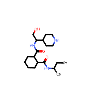 CC(C)CC(C#N)NC(=O)C1CCCCC1C(=O)NC(CO)C1CCNCC1